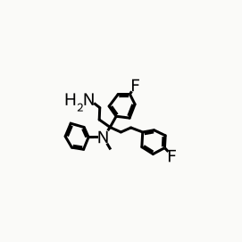 CN(c1ccccc1)C(CCN)(CCc1ccc(F)cc1)c1ccc(F)cc1